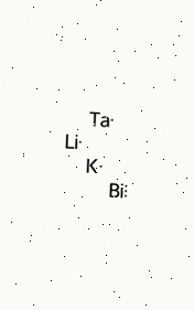 [Bi].[K].[Li].[Ta]